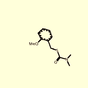 COc1ccccc1CSC(=O)N(C)C